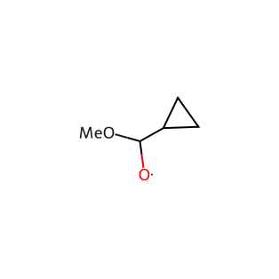 COC([O])C1CC1